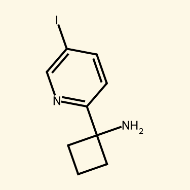 NC1(c2ccc(I)cn2)CCC1